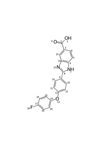 O=C(O)c1ccc2[nH]c(-c3ccc(Oc4ccc(F)cc4)cc3)nc2c1